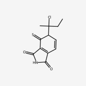 CCC(C)(Cl)C1C=CC2=C(C(=O)NC2=O)C1=S